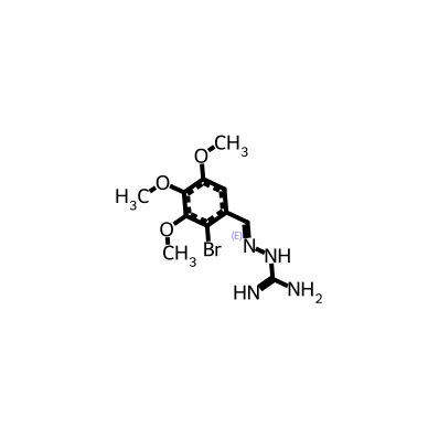 COc1cc(/C=N/NC(=N)N)c(Br)c(OC)c1OC